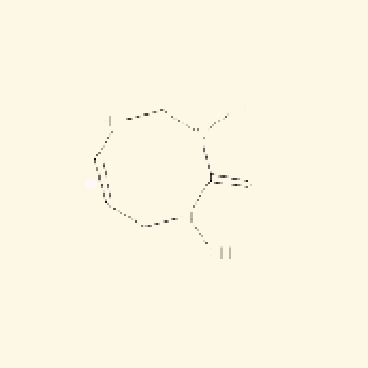 C=C1N(C)C/C=C\NCN1C